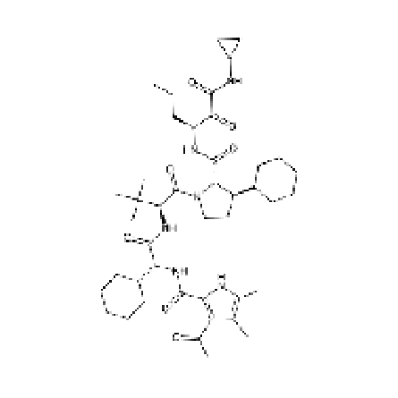 CCC[C@H](NC(=O)[C@@H]1[C@@H](C2CCCCC2)CCN1C(=O)[C@@H](NC(=O)C(NC(=O)c1[nH]c(C)c(C)c1C(C)=O)C1CCCCC1)C(C)(C)C)C(=O)C(=O)NC1CC1